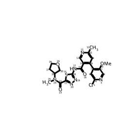 COc1cnc(Cl)cc1-c1cc(C)ncc1C(=O)Nc1nnc(C(=O)N(C)C2CCOC2)s1